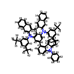 CC(C)(C)c1cc(N2c3cc4ccccc4cc3B3c4cc5ccccc5cc4N(c4cc(C(C)(C)C)cc(C(C)(C)C)c4)c4cc(-c5cccc6c5c5ccccc5n6-c5ccccc5)cc2c43)cc(C(C)(C)C)c1